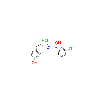 Cl.Oc1ccc2c(c1)C[C@@H](NC[C@H](O)c1cccc(Cl)c1)CC2